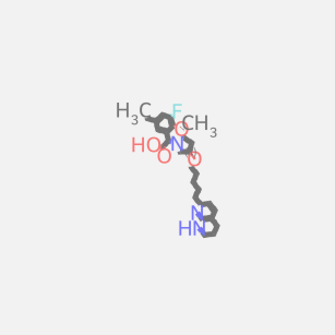 CCc1cc(F)c(OC)c(C(C(=O)O)N2CC[C@@H](OCCCCCc3ccc4c(n3)NCCC4)C2)c1